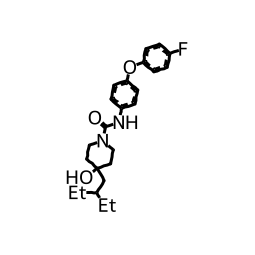 CCC(CC)CC1(O)CCN(C(=O)Nc2ccc(Oc3ccc(F)cc3)cc2)CC1